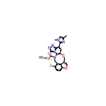 Cc1cn(C)c(-c2cc3c(n4cnnc24)N(C(=O)OC(C)(C)C)Cc2c(F)ccc4c2[C@H](CO4)CO3)n1